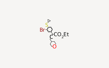 CCOC(=O)C(=C=CC1CCOCC1)c1ccc(SC2CC2)c(Br)c1